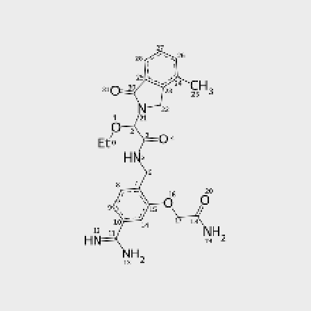 CCOC(C(=O)NCc1ccc(C(=N)N)cc1OCC(N)=O)N1Cc2c(C)cccc2C1=O